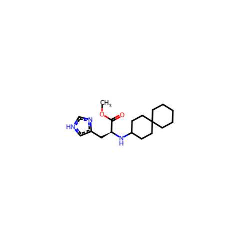 COC(=O)[C@H](Cc1c[nH]cn1)NC1CCC2(CCCCC2)CC1